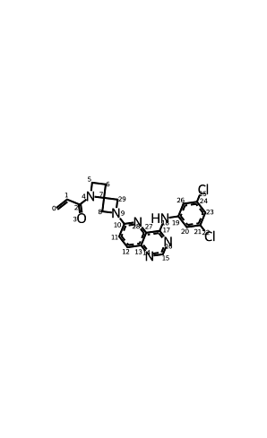 C=CC(=O)N1CCC12CN(c1ccc3ncnc(Nc4cc(Cl)cc(Cl)c4)c3n1)C2